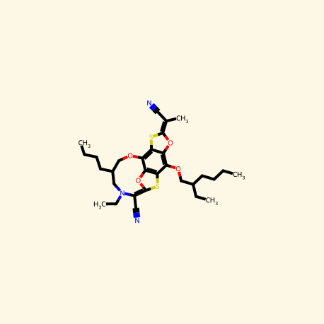 CCCCC(CC)COc1c2c(c3c4c1S/C(=C(\C#N)N(CC)CC(CCCC)CO3)O4)S/C(=C(/C)C#N)O2